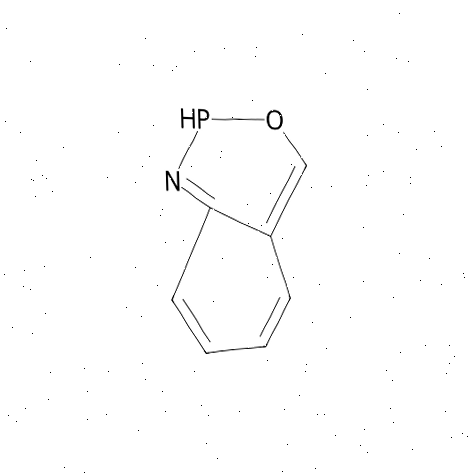 C1=c2ccccc2=NPO1